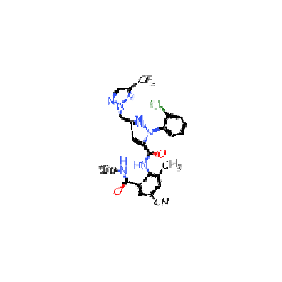 Cc1cc(C#N)cc(C(=O)NC(C)(C)C)c1NC(=O)c1cc(Cn2ncc(C(F)(F)F)n2)nn1-c1ccccc1Cl